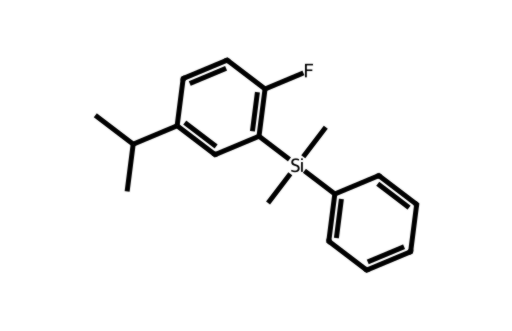 CC(C)c1ccc(F)c([Si](C)(C)c2ccccc2)c1